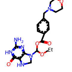 CCOC(OC(=O)c1ccc(CN2CCOCC2)cc1)N1CNc2c1nc(N)[nH]c2=O